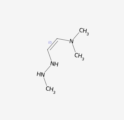 CNN/C=C\N(C)C